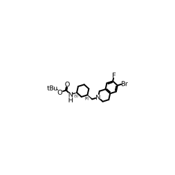 CC(C)(C)OC(=O)N[C@H]1CCC[C@@H](CN2CCc3cc(Br)c(F)cc3C2)C1